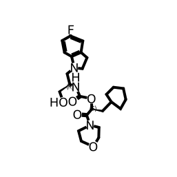 O=C(N[C@@H](CO)CN1CCc2cc(F)ccc21)O[C@@H](CC1CCCCC1)C(=O)N1CCOCC1